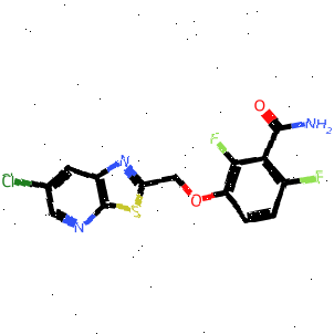 NC(=O)c1c(F)ccc(OCc2nc3cc(Cl)cnc3s2)c1F